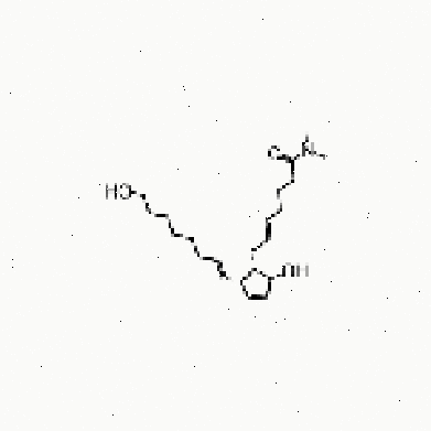 CN(C)C(=O)CCCC=CC[C@H]1[C@@H](C=CCCCCCCO)C=C[C@@H]1O